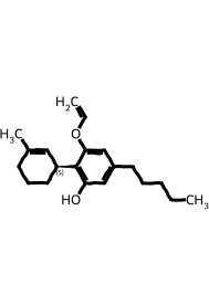 C=COc1cc(CCCCC)cc(O)c1[C@@H]1C=C(C)CCC1